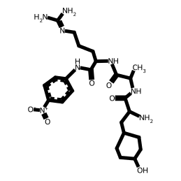 CC(NC(=O)C(N)CC1CCC(O)CC1)C(=O)NC(CCCN=C(N)N)C(=O)Nc1ccc([N+](=O)[O-])cc1